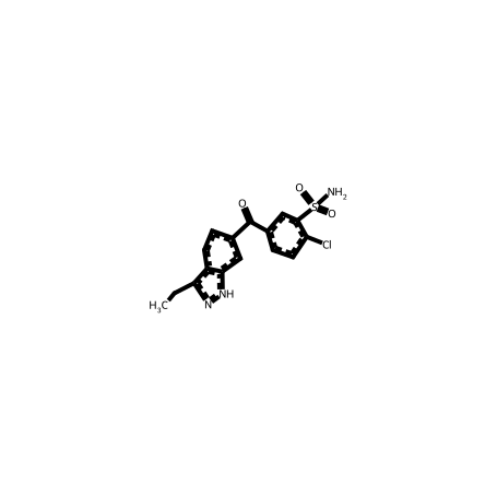 CCc1n[nH]c2cc(C(=O)c3ccc(Cl)c(S(N)(=O)=O)c3)ccc12